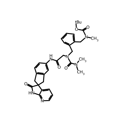 CN(C)C(=O)N(CC(=O)Nc1ccc2c(c1)CC1(C2)C(=O)Nc2ncccc21)Cc1ccccc1CN(C)C(=O)OC(C)(C)C